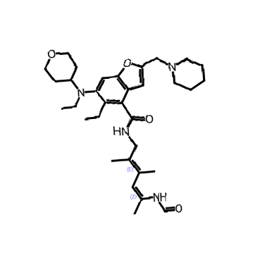 CCc1c(N(CC)C2CCOCC2)cc2oc(CN3CCCCC3)cc2c1C(=O)NC/C(C)=C(C)/C=C(/C)NC=O